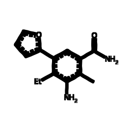 CCc1c(-c2ccco2)cc(C(N)=O)c(C)c1N